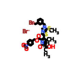 CSc1c2sc(C3=C(C(=O)OCc4ccc([N+](=O)[O-])cc4)N4C(=O)[C@H]([C@@H](C)O)[C@H]4[C@H]3C)c[n+]2cn1Cc1cccc(CBr)c1.[Br-]